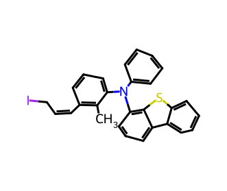 Cc1c(/C=C\CI)cccc1N(c1ccccc1)c1cccc2c1sc1ccccc12